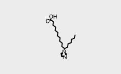 CCCCCCC(CCCCCCCCCCC(=O)O)n1ccnc1